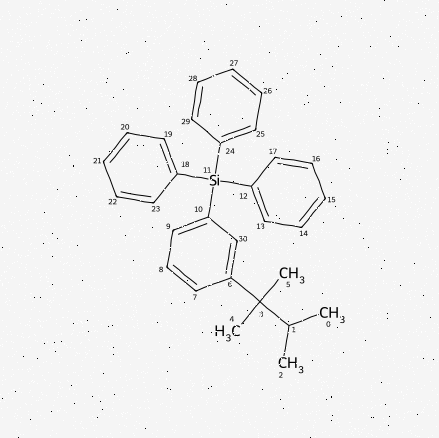 CC(C)C(C)(C)c1cccc([Si](c2ccccc2)(c2ccccc2)c2ccccc2)c1